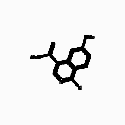 COC(=O)c1cnc(Cl)c2ccc(OC)cc12